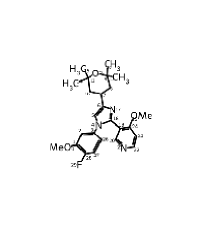 COc1cc(-n2cc(C3CC(C)(C)OC(C)(C)C3)nc2-c2cnccc2OC)ccc1F